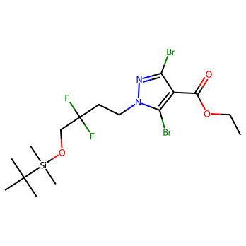 CCOC(=O)c1c(Br)nn(CCC(F)(F)CO[Si](C)(C)C(C)(C)C)c1Br